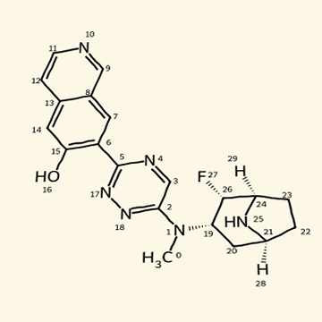 CN(c1cnc(-c2cc3cnccc3cc2O)nn1)[C@H]1C[C@@H]2CC[C@@H](N2)[C@H]1F